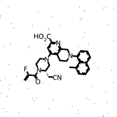 C=C(F)C(=O)N1CCN(c2cc(C(=O)O)nc3c2CCN(c2cccc4cccc(C)c24)C3)C[C@@H]1CC#N